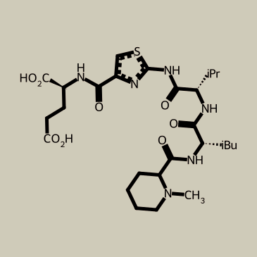 CCC(C)[C@H](NC(=O)C1CCCCN1C)C(=O)N[C@H](C(=O)Nc1nc(C(=O)N[C@@H](CCC(=O)O)C(=O)O)cs1)C(C)C